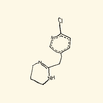 Clc1ccc(CC2=NCCCN2)cn1